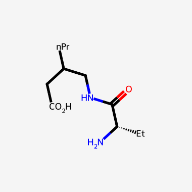 CCCC(CNC(=O)[C@@H](N)CC)CC(=O)O